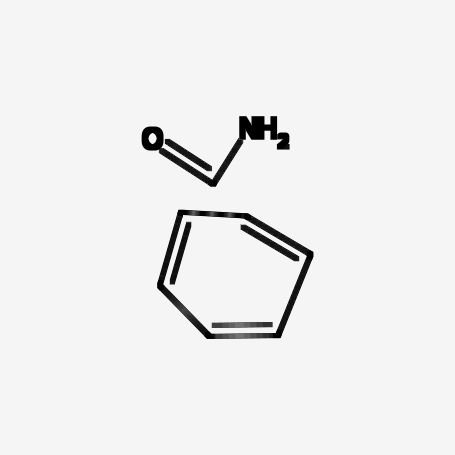 NC=O.c1ccccc1